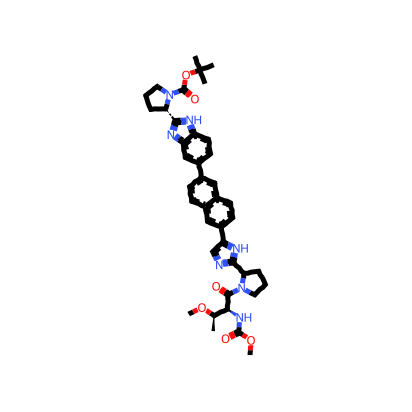 COC(=O)N[C@H](C(=O)N1CCCC1c1ncc(-c2ccc3cc(-c4ccc5[nH]c([C@@H]6CCCN6C(=O)OC(C)(C)C)nc5c4)ccc3c2)[nH]1)[C@@H](C)OC